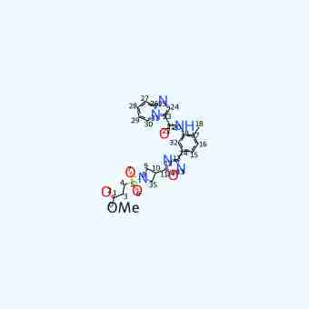 COC(=O)CCS(=O)(=O)N1CC(c2nc(-c3ccc(C)c(NC(=O)c4cnc5ccccn45)c3)no2)C1